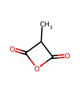 CC1C(=O)OC1=O